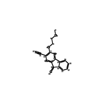 COCCOc1nc2c(nc1C#N)C(=O)c1ccccc1-2